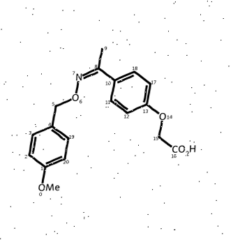 COc1ccc(CON=C(C)c2ccc(OCC(=O)O)cc2)cc1